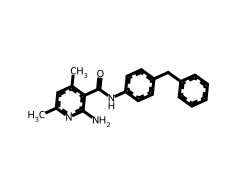 Cc1cc(C)c(C(=O)Nc2ccc(Cc3ccccc3)cc2)c(N)n1